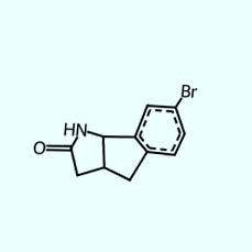 O=C1CC2Cc3ccc(Br)cc3C2N1